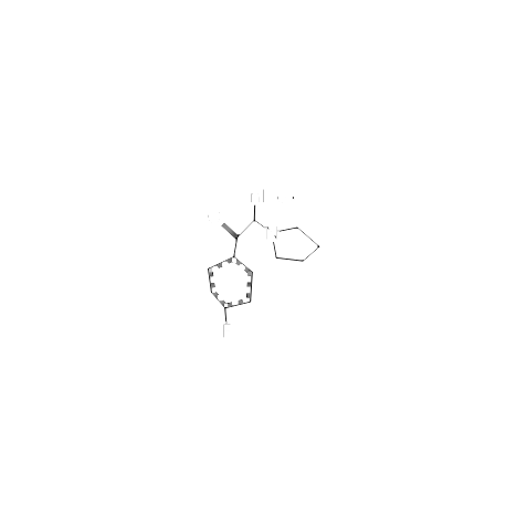 CCCCCCC(C(=O)c1ccc(F)cc1)N1CCCC1